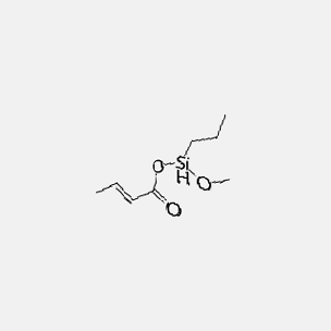 CC=CC(=O)O[SiH](CCC)OC